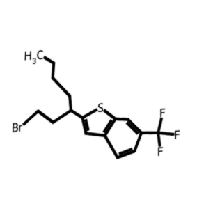 CCCCC(CCBr)c1cc2ccc(C(F)(F)F)cc2s1